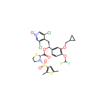 Cc1cc(S(=O)(=O)N2CCS[C@H]2C(=O)O[C@@H](Cc2c(Cl)c[n+]([O-])cc2Cl)c2ccc(OC(F)F)c(OCC3CC3)c2)c(C)s1